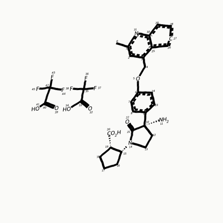 Cc1cc(COc2ccc([C@@]3(N)CCN([C@@H]4CCC[C@@H]4C(=O)O)C3=O)cc2)c2ccccc2n1.O=C(O)C(F)(F)F.O=C(O)C(F)(F)F